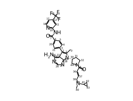 Cc1c(-c2ccc(C(=O)Nc3cc(C(F)(F)F)ccn3)cc2)c2c(N)ncnc2n1[C@@H]1CCN(C(=O)/C=C/CN(C)C2CC2)C1